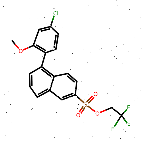 COc1cc(Cl)ccc1-c1cccc2cc(S(=O)(=O)OCC(F)(F)F)ccc12